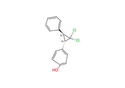 Oc1ccc([C@@H]2[C@@H](c3ccccc3)C2(Cl)Cl)cc1